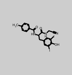 Cc1ccc(C(=O)NC(Cc2cc(I)c(O)c(I)c2)C(=O)NCC#N)cc1